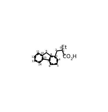 CCC(Cc1cccc2c1Cc1ccccc1-2)C(=O)O